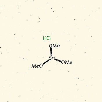 C[O][Sn]([O]C)[O]C.Cl